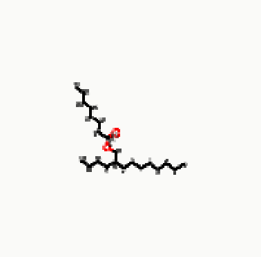 CCCCCCCCC(CCCC)COC(=O)CCCCCCC